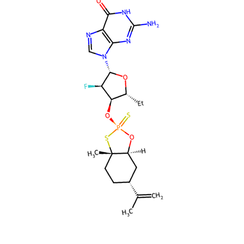 C=C(C)[C@@H]1CC[C@]2(C)S[P@@](=S)(O[C@H]3[C@@H](F)[C@H](n4cnc5c(=O)[nH]c(N)nc54)O[C@@H]3CC)O[C@H]2C1